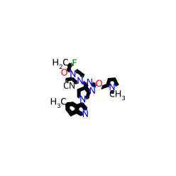 C=C(F)C(=O)N1CCN(c2nc(OCC3CCCN3C)nc3c2CCN(c2cncc4ccc(C)cc24)C3)CC1CC#N